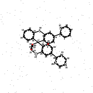 c1ccc(-c2ccc3c(c2)Sc2ccccc2C32c3ccccc3Oc3cc(-c4ncncn4)ccc32)nc1